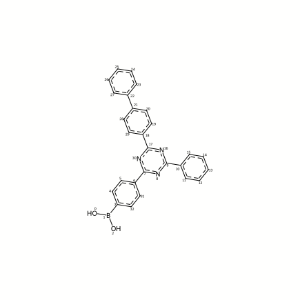 OB(O)c1ccc(-c2nc(-c3ccccc3)nc(-c3ccc(-c4ccccc4)cc3)n2)cc1